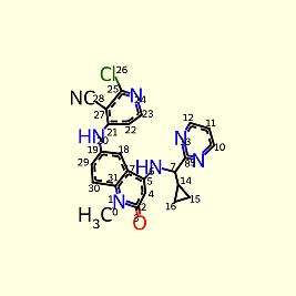 Cn1c(=O)cc(NC(c2ncccn2)C2CC2)c2cc(Nc3ccnc(Cl)c3C#N)ccc21